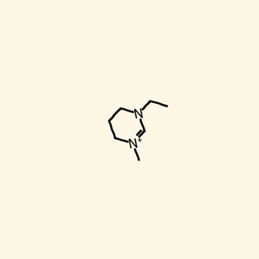 CCN1C=[N+](C)CCC1